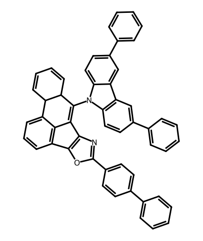 C1=CC2C(n3c4ccc(-c5ccccc5)cc4c4cc(-c5ccccc5)ccc43)=C3c4nc(-c5ccc(-c6ccccc6)cc5)oc4-c4cccc(c43)C2C=C1